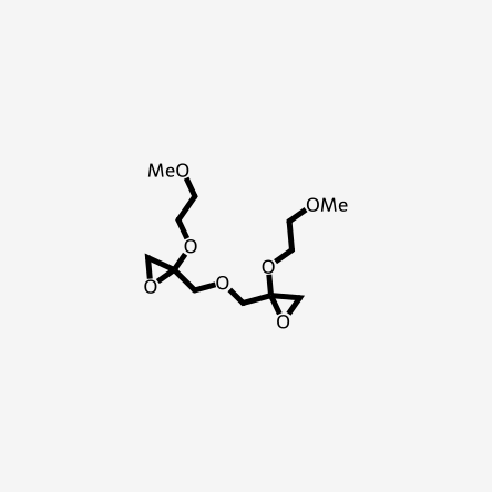 COCCOC1(COCC2(OCCOC)CO2)CO1